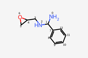 NC(NCC1CO1)c1ccccc1